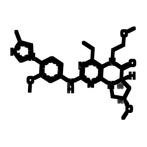 CCc1nc(Nc2ccc(-n3cnc(C)c3)c(OC)c2)nc2c1N(CCOC)C(=O)[C@@H]1C[C@@H](OC)CN21